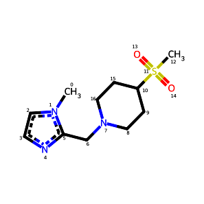 Cn1ccnc1CN1CCC(S(C)(=O)=O)CC1